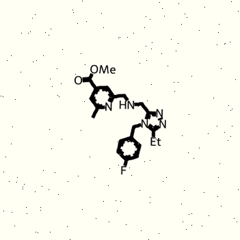 CCc1nnc(CNCc2cc(C(=O)OC)cc(C)n2)n1Cc1ccc(F)cc1